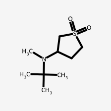 CN(C1CCS(=O)(=O)C1)C(C)(C)C